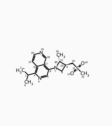 CC(C)c1ncc(N2C[C@H](CS(C)(=O)=O)[C@H]2C)c2cnccc12